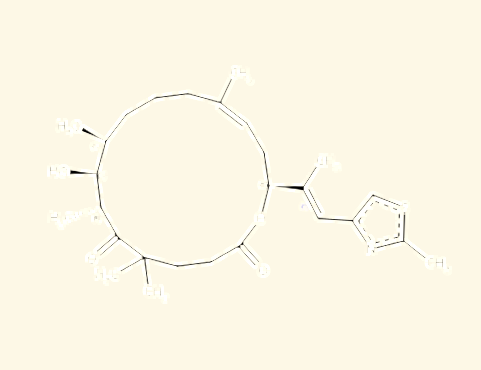 CC1=CC[C@@H](/C(C)=C/c2csc(C)n2)OC(=O)CCC(C)(C)C(=O)[C@H](C)[C@@H](O)[C@@H](C)CCC1